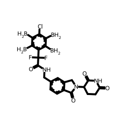 Bc1c(B)c(C(F)(F)C(=O)NCc2ccc3c(c2)CN(C2CCC(=O)NC2=O)C3=O)c(B)c(B)c1Cl